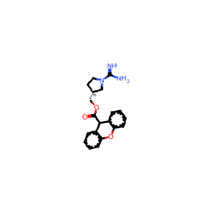 N=C(N)N1CC[C@@H](COC(=O)C2c3ccccc3Oc3ccccc32)C1